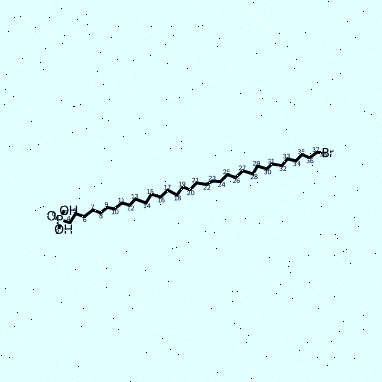 O=P(O)(O)CCCCCCCCCCCCCCCCCCCCCCCCCCCCCCCCCCBr